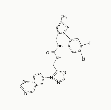 Cc1nc(CNC(=O)NCc2ncnn2-c2ccc3ncncc3c2)n(-c2ccc(Cl)c(F)c2)n1